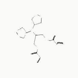 C=CC(=O)OCC(COC(=O)C=C)N(C1CSSC1)C1CSSC1